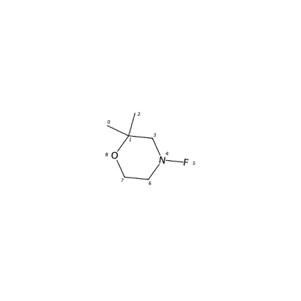 CC1(C)CN(F)CCO1